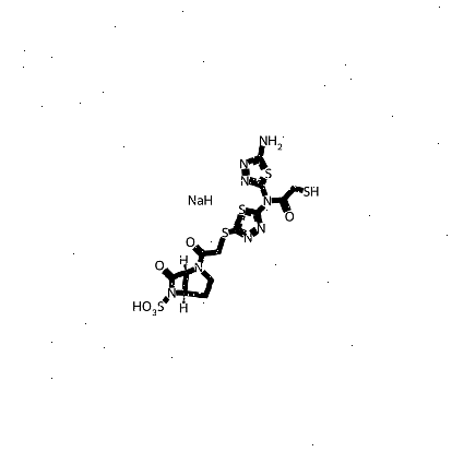 Nc1nnc(N(C(=O)CS)c2nnc(SCC(=O)N3CC[C@@H]4[C@H]3C(=O)N4S(=O)(=O)O)s2)s1.[NaH]